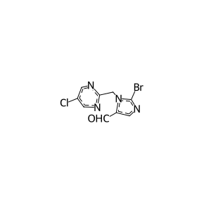 O=Cc1cnc(Br)n1Cc1ncc(Cl)cn1